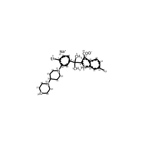 CCc1ccc(C(C)(C)c2[nH]c3cc(I)ccc3c2C(=O)[O-])cc1N1CCC(N2CCOCC2)CC1.[Na+]